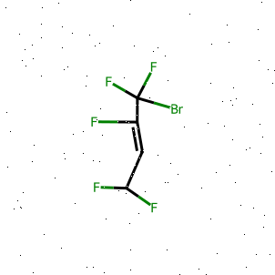 FC(=CC(F)F)C(F)(F)Br